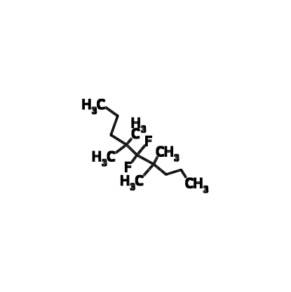 CCCC(C)(C)C(F)(F)C(C)(C)CCC